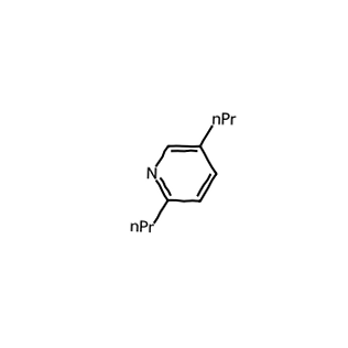 CCCc1ccc(CCC)nc1